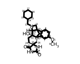 COc1ccc2c(c1)[C@]13CC24CN(CC2CCCCC2)[C@H]4[C@]1(O)CC[C@@]1(C3)NC(=O)NC1=O